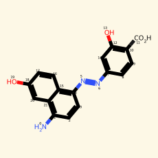 Nc1ccc(N=Nc2ccc(C(=O)O)c(O)c2)c2ccc(O)cc12